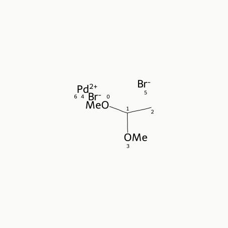 COC(C)OC.[Br-].[Br-].[Pd+2]